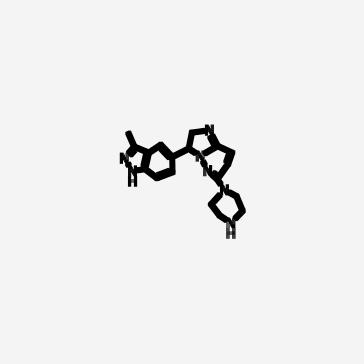 Cc1n[nH]c2ccc(C3CN=C4C=CC(N5CCNCC5)=NN43)cc12